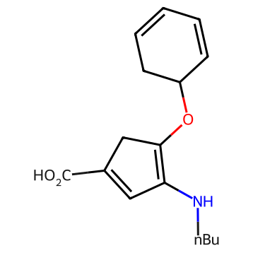 CCCCNC1=C(OC2C=CC=CC2)CC(C(=O)O)=C1